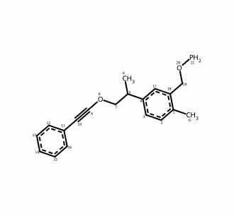 Cc1ccc(C(C)COC#Cc2ccccc2)cc1COP